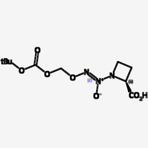 CC(C)(C)OC(=O)OCO/N=[N+](\[O-])N1CC[C@H]1C(=O)O